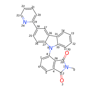 CN1C(=O)c2cccc(-n3c4ccccc4c4cc(-c5ccccn5)ccc43)c2C1=O